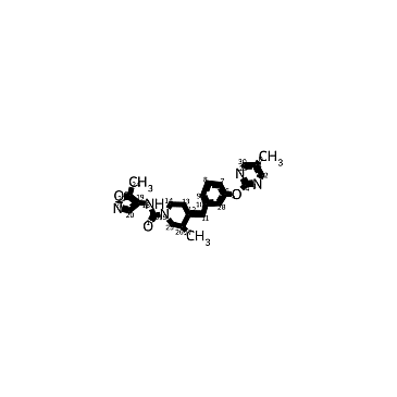 Cc1cnc(Oc2cccc(C=C3CCN(C(=O)Nc4cnoc4C)CC3C)c2)nc1